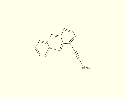 CCCCCCC#Cc1cccc2cc3ccccc3cc12